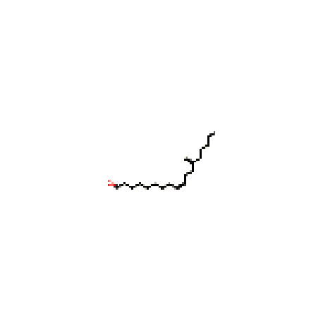 C=C(CC/C=C\CCCCCCC[C]=O)CCCCC